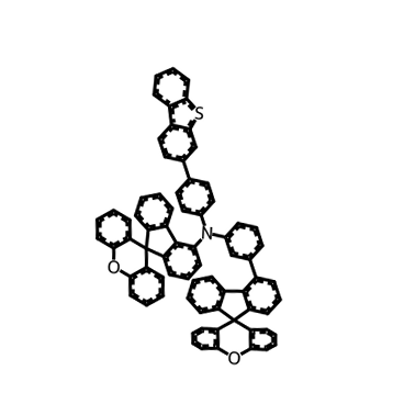 c1cc(-c2cccc3c2-c2ccccc2C32c3ccccc3Oc3ccccc32)cc(N(c2ccc(-c3ccc4c(c3)sc3ccccc34)cc2)c2cccc3c2-c2ccccc2C32c3ccccc3Oc3ccccc32)c1